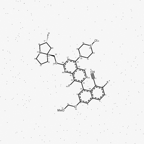 C#Cc1c(F)ccc2cc(OCOC)cc(-c3ncc4c(N5CC[S+]([O-])CC5)nc(OC[C@@]56CCCN5C[C@H](F)C6)nc4c3F)c12